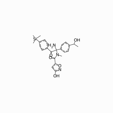 CC(O)c1ccc(C(N)(C(=O)c2ccc([Si](C)(C)C)cc2)N(C)C(=O)c2cc(O)no2)cc1